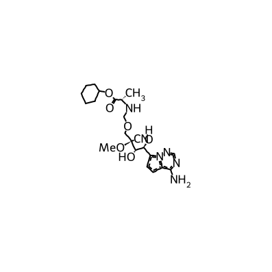 CO[C@](C#N)(COCN[C@@H](C)C(=O)OC1CCCCC1)[C@@H](O)[C@@H](O)c1ccc2c(N)ncnn12